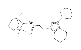 CC12CCC(C1)C(C)(C)C2NC(=O)CCc1nn(C2CCCCC2)c2c1CCCC2